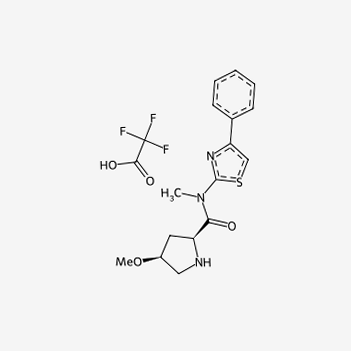 CO[C@@H]1CN[C@H](C(=O)N(C)c2nc(-c3ccccc3)cs2)C1.O=C(O)C(F)(F)F